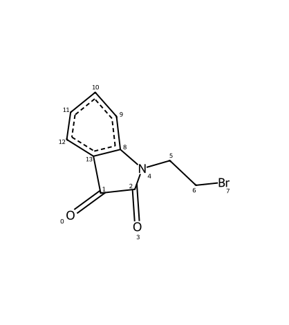 O=C1C(=O)N(CCBr)c2ccccc21